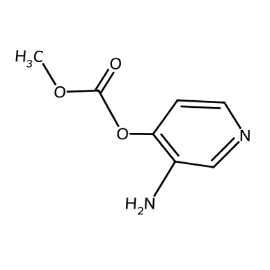 COC(=O)Oc1ccncc1N